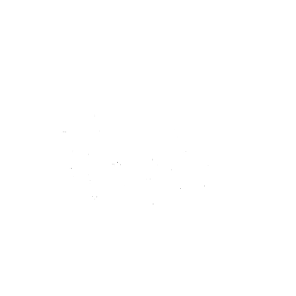 CC/C(Cl)=C(\C=C/CCl)OC(C)C(=O)NC(C(=O)OC)c1ccc(F)cc1